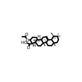 CC(=O)O[C@@H]1CC[C@@]2(C)[C@@H](CC[C@]3(C)[C@@H]2CC=C2C4[C@@H](C)[C@H](C)CC[C@]4(C)CC[C@]23C)[C@@]1(C)C(=O)O